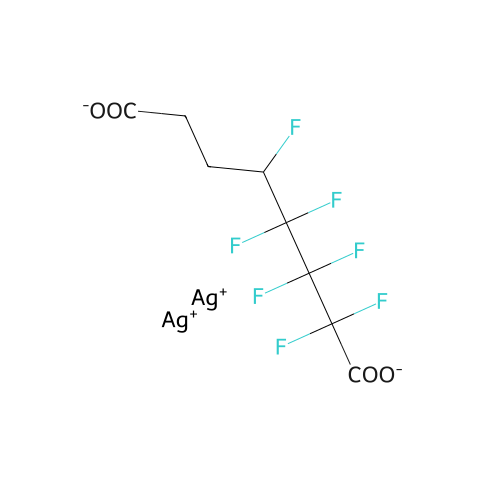 O=C([O-])CCC(F)C(F)(F)C(F)(F)C(F)(F)C(=O)[O-].[Ag+].[Ag+]